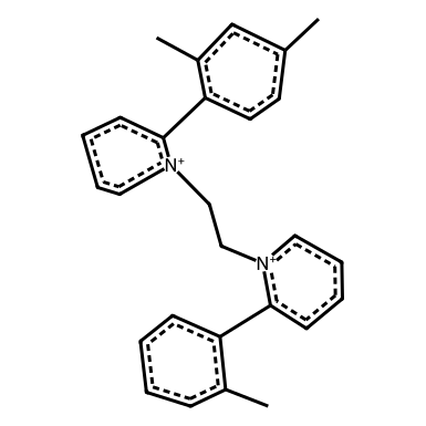 Cc1ccc(-c2cccc[n+]2CC[n+]2ccccc2-c2ccccc2C)c(C)c1